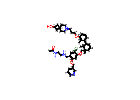 CC(=O)NCCNCc1cc(Cl)c(OCC2(C)C=CC=C(c3cccc(OCCCN4CCC5(CC4)CC(O)C5)c3C)C2C)cc1OCc1cccnc1